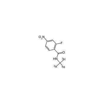 [2H]C([2H])([2H])NC(=O)c1ccc([N+](=O)[O-])cc1F